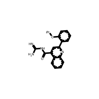 CC(C)Oc1ccccc1-c1cc(C(=O)NC(=N)N)c2ccccc2n1